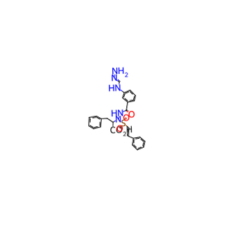 NN=CNc1cccc(C(=O)NN(C(Cc2ccccc2)C(=O)O)S(=O)(=O)C=Cc2ccccc2)c1